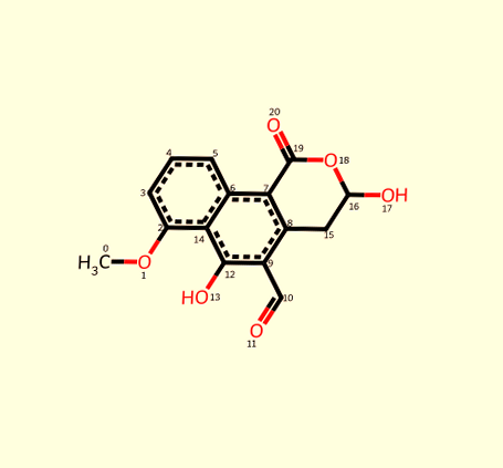 COc1cccc2c3c(c(C=O)c(O)c12)CC(O)OC3=O